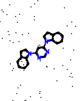 c1ccc2c(c1)ccn2-c1cc(-n2ccc3ccccc32)ncn1